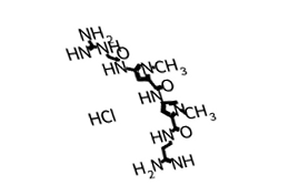 Cl.Cn1cc(NC(=O)c2cc(NC(=O)CNC(=N)N)cn2C)cc1C(=O)NCCC(=N)N